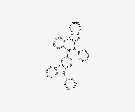 c1ccc(B2c3cc4ccccc4n3-c3ccccc3N2c2ccc3c(c2)c2ccccc2n3-c2ccccc2)cc1